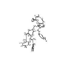 CCCc1nc2ccccc(=O)c2n1Cc1ccc2c(c1)CCc1ccccc1C2=CC#N